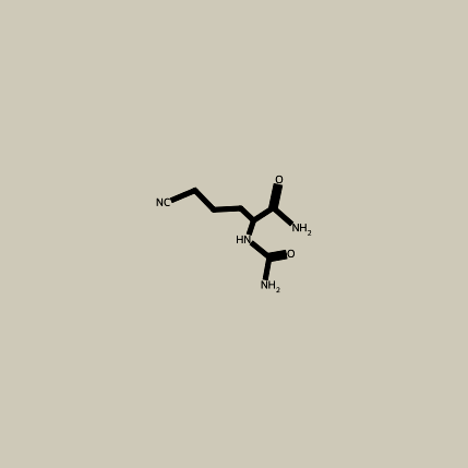 N#CCCCC(NC(N)=O)C(N)=O